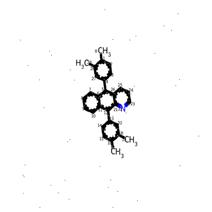 Cc1ccc(-c2c3ccccc3c(-c3ccc(C)c(C)c3)c3ncccc23)cc1C